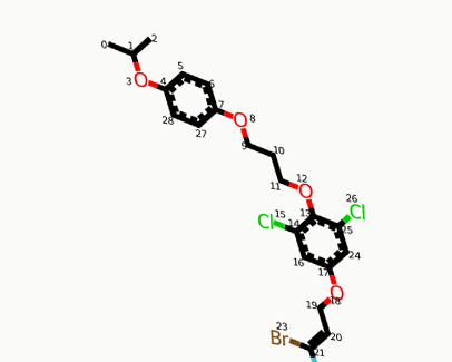 CC(C)Oc1ccc(OCCCOc2c(Cl)cc(OC/C=C(/F)Br)cc2Cl)cc1